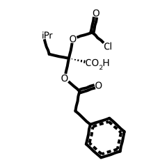 CC(C)C[C@@](OC(=O)Cl)(OC(=O)Cc1ccccc1)C(=O)O